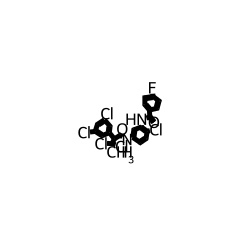 CC(Cl)(Cl)C(C(=O)Nc1ccc(Cl)c(NC(=O)c2ccc(F)cc2)c1)c1cc(Cl)cc(Cl)c1